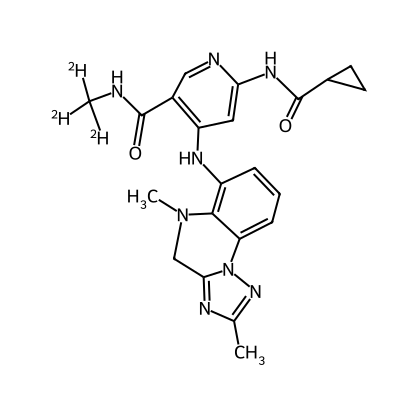 [2H]C([2H])([2H])NC(=O)c1cnc(NC(=O)C2CC2)cc1Nc1cccc2c1N(C)Cc1nc(C)nn1-2